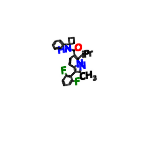 Cc1nn2c(C(C)C)c(C(=O)NC3(c4ccccc4)CCC3)ccc2c1-c1c(F)cccc1F